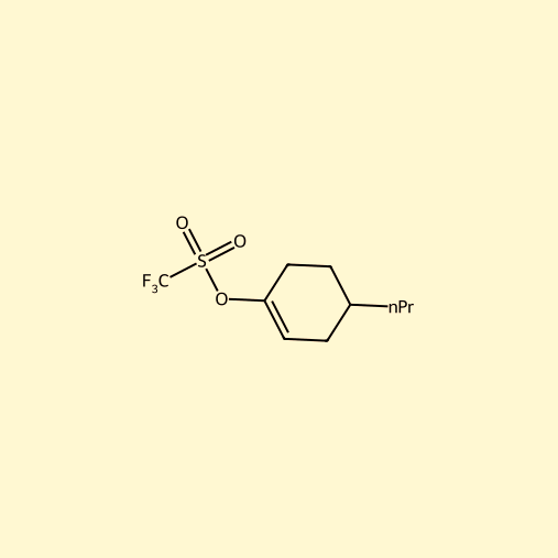 CCCC1CC=C(OS(=O)(=O)C(F)(F)F)CC1